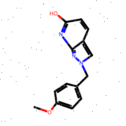 COc1ccc(Cn2cc3ccc(O)nc3n2)cc1